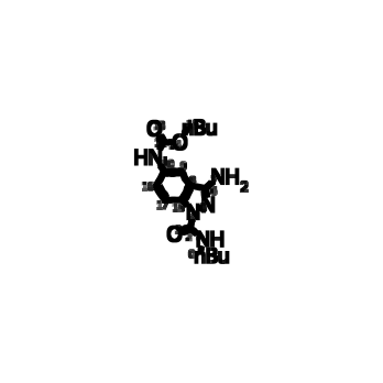 CCCCNC(=O)n1nc(N)c2cc(NC(=O)OCCCC)ccc21